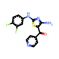 Nc1nc(Nc2ccc(F)c(F)c2)sc1C(=O)c1ccncc1